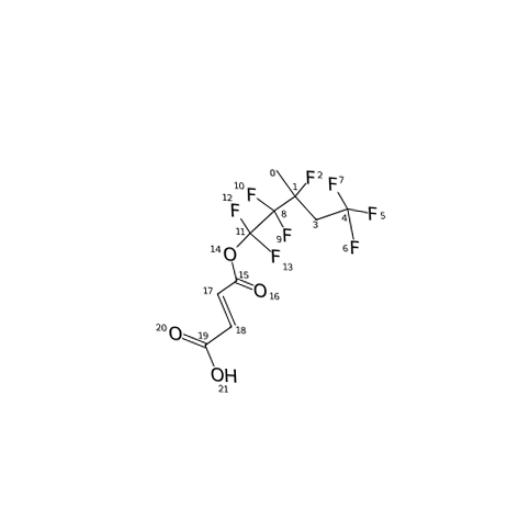 CC(F)(CC(F)(F)F)C(F)(F)C(F)(F)OC(=O)C=CC(=O)O